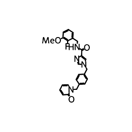 COc1cccc(CNC(=O)c2cn(Cc3ccc(Cn4ccccc4=O)cc3)cn2)c1F